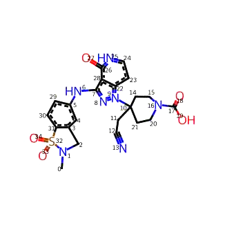 CN1Cc2cc(Nc3nn(C4(CC#N)CCN(C(=O)O)CC4)c4cc[nH]c(=O)c34)ccc2S1(=O)=O